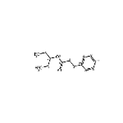 CCC(CC)OC(=O)CCc1ccccc1